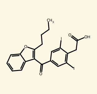 CCCCc1oc2ccccc2c1C(=O)c1cc(I)c(CC(=O)O)c(I)c1